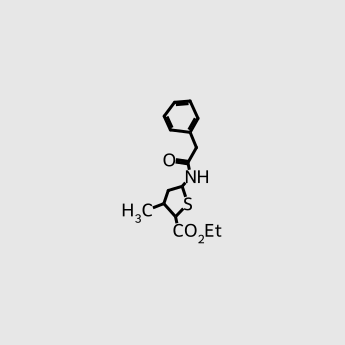 CCOC(=O)C1SC(NC(=O)Cc2ccccc2)CC1C